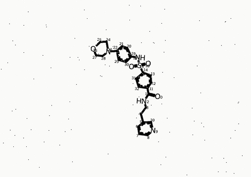 O=C(NCCc1cccnc1)c1ccc(S(=O)(=O)Nc2ccc(N3CCOCC3)cc2)cc1